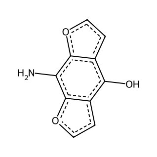 Nc1c2occc2c(O)c2ccoc12